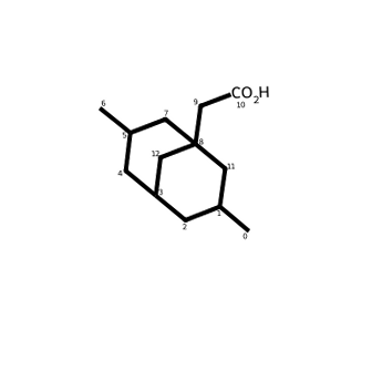 CC1CC2CC(C)CC(CC(=O)O)(C1)C2